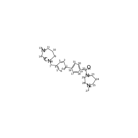 C=C(/C=C\C(=C/C)CN1CCCN(C)CC1)c1ccc(C(=O)N2CCCN(C)CC2)cc1